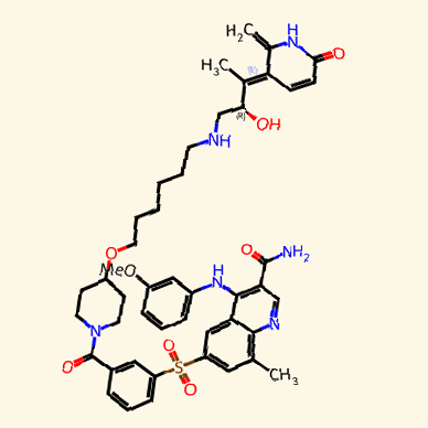 C=c1[nH]c(=O)cc/c1=C(/C)[C@@H](O)CNCCCCCCOC1CCN(C(=O)c2cccc(S(=O)(=O)c3cc(C)c4ncc(C(N)=O)c(Nc5cccc(OC)c5)c4c3)c2)CC1